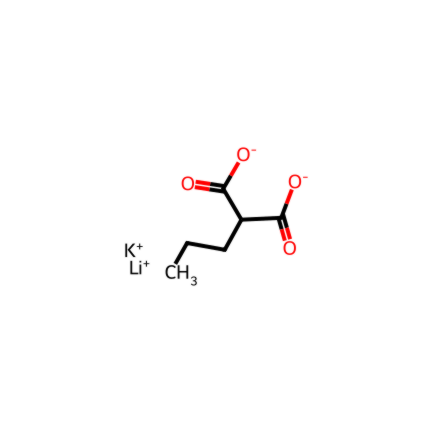 CCCC(C(=O)[O-])C(=O)[O-].[K+].[Li+]